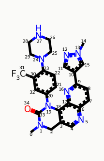 CN1Cc2cnc3ccc(-c4cnn(C)c4)nc3c2N(c2ccc(N3CCNCC3)c(C(F)(F)F)c2)C1=O